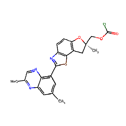 COc1cnc2c(-c3nc4ccc5c(c4s3)C[C@](C)(COC(=O)Cl)O5)cc(C)cc2n1